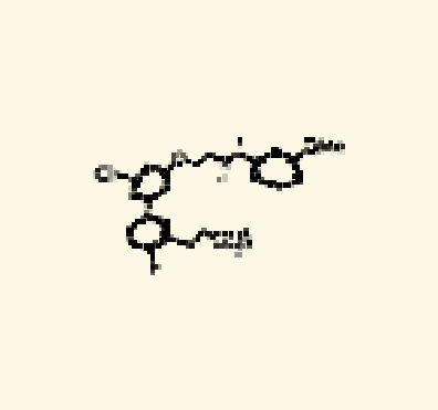 COc1cccc([C@@H](C)NCCOc2cc(Cl)cc(-c3ccc(F)c(CCC(=O)O)c3)c2)c1